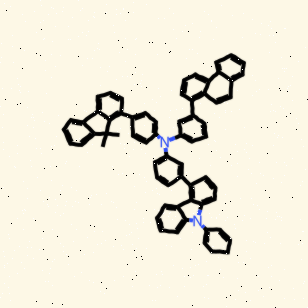 CC1(C)c2ccccc2-c2cccc(-c3ccc(N(c4cccc(-c5cccc6c5ccc5ccccc56)c4)c4cccc(-c5cccc6c5c5ccccc5n6C5=CCCC=C5)c4)cc3)c21